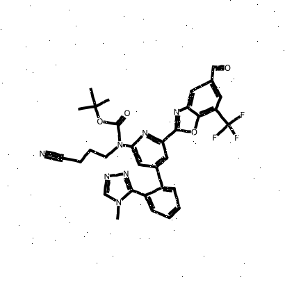 Cn1cnnc1-c1ccccc1-c1cc(-c2nc3cc(C=O)cc(C(F)(F)F)c3o2)nc(N(CCCC#N)C(=O)OC(C)(C)C)c1